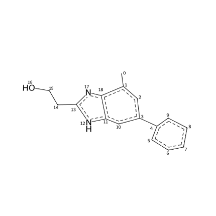 Cc1cc(-c2ccccc2)cc2[nH]c(CCO)nc12